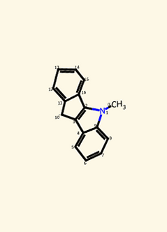 Cn1c2c(c3ccccc31)[CH]c1ccccc1-2